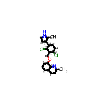 Cc1ccc2cccc(OCc3c(Cl)ccc(-c4cc[nH]c4C#N)c3Cl)c2n1